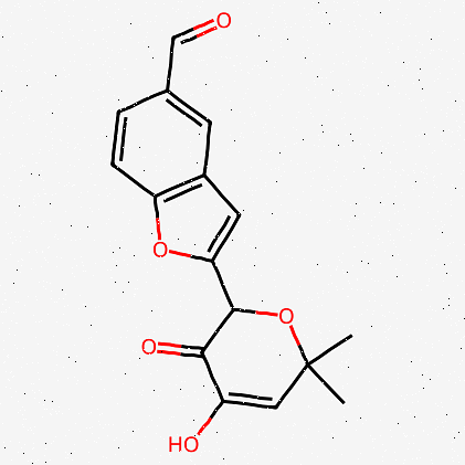 CC1(C)C=C(O)C(=O)C(c2cc3cc(C=O)ccc3o2)O1